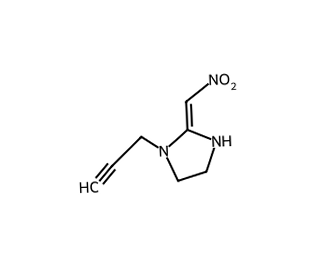 C#CCN1CCNC1=C[N+](=O)[O-]